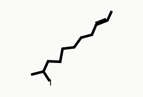 CC=CCCCCCCC(C)I